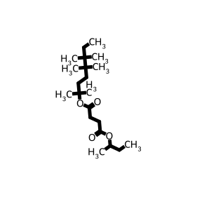 CCC(C)OC(=O)CCC(=O)OC(C)(C)CCC(C)(C)C(C)(C)CC